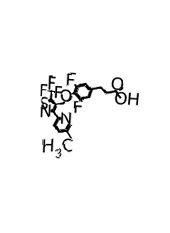 CCc1ccc(-c2nsc(C(F)(F)F)c2COc2c(F)cc(CCC(=O)O)cc2F)nc1